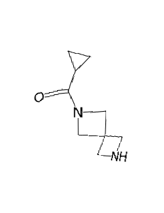 O=C(C1CC1)N1CC2(CNC2)C1